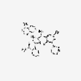 CCc1cc(-c2ccccc2)c(F)c(C(Nc2ccc3c(N)nccc3c2)c2nc(-c3ccccc3C(N)=O)c[nH]2)c1